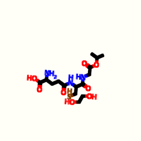 CC(C)OC(=O)CNC(=O)C(CS)NC(=O)CCC(N)C(=O)O.OCCO